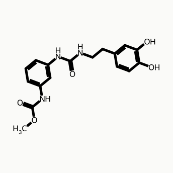 COC(=O)Nc1cccc(NC(=O)NCCc2ccc(O)c(O)c2)c1